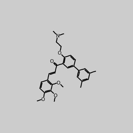 COc1ccc(/C=C/C(=O)c2cc(-c3cc(C)cc(C)c3)ccc2OCCN(C)C)c(OC)c1OC